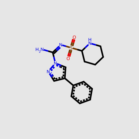 NC(=NS(=O)(=O)C1CCCCN1)n1cc(-c2ccccc2)cn1